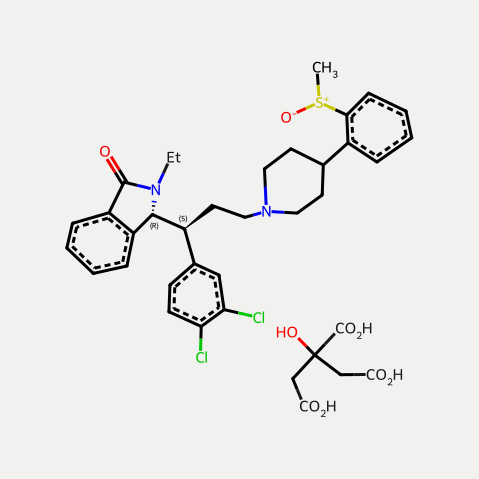 CCN1C(=O)c2ccccc2[C@H]1[C@@H](CCN1CCC(c2ccccc2[S+](C)[O-])CC1)c1ccc(Cl)c(Cl)c1.O=C(O)CC(O)(CC(=O)O)C(=O)O